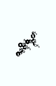 C=CC(NC(=O)C(F)(F)c1cccnc1)[C@@H](C(=O)Nc1ccc(C[C@@H](NC(=O)CC)C(=O)N2CCN(C)CC2)cc1F)C1CCCCC1